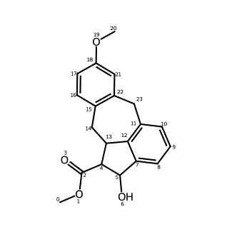 COC(=O)C1C(O)c2cccc3c2C1Cc1ccc(OC)cc1C3